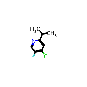 CC(C)c1cc(Cl)c(F)cn1